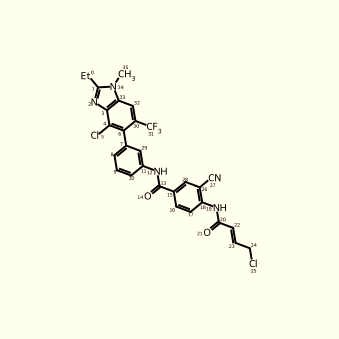 CCc1nc2c(Cl)c(-c3cccc(NC(=O)c4ccc(NC(=O)C=CCCl)c(C#N)c4)c3)c(C(F)(F)F)cc2n1C